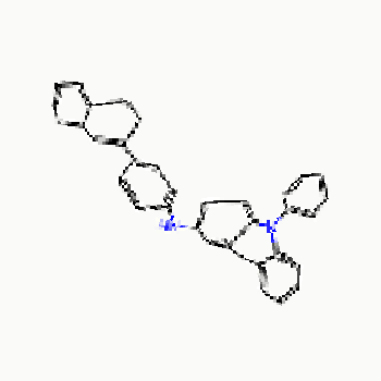 C1=C(c2ccc(Nc3ccc4c(c3)c3ccccc3n4-c3ccccc3)cc2)CCc2ccccc21